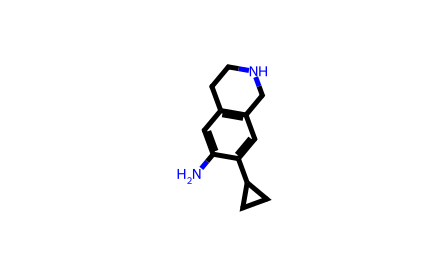 Nc1cc2c(cc1C1CC1)CNCC2